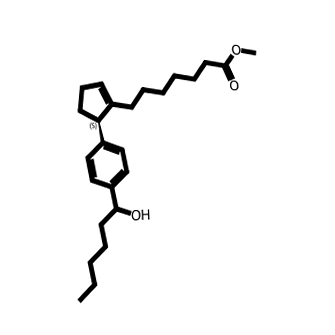 CCCCCC(O)c1ccc([C@H]2CCC=C2CCCCCCC(=O)OC)cc1